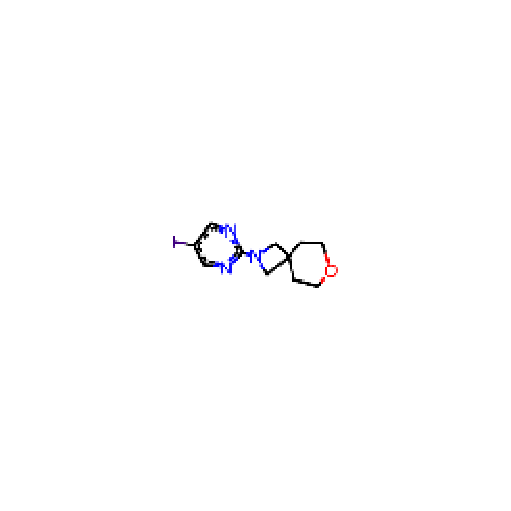 Ic1cnc(N2CC3(CCOCC3)C2)nc1